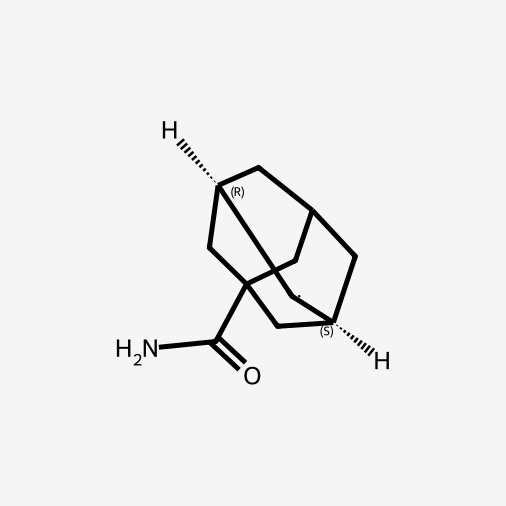 NC(=O)C12CC3C[C@@H]([CH][C@@H](C3)C1)C2